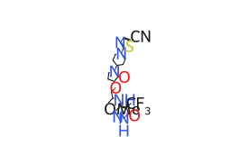 COCC(COC1CCN(C2CCN(c3ncc(C#N)s3)CC2)C1=O)Nc1cn[nH]c(=O)c1C(F)(F)F